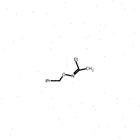 [CH2]/C(CC)=N/OCC(C)C